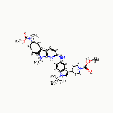 CC(C)[Si](C(C)C)(C(C)C)n1cc(C2CCN(C(=O)OC(C)(C)C)CC2)c2cc(Nc3ccc4c5c(n(C)c4n3)CCC(N(C)C(=O)OC(C)(C)C)C5)ccc21